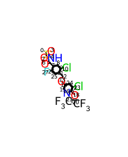 CS(=O)(=O)NC(=O)c1cc(Cl)c(COc2cnc(OC(C(F)(F)F)C(F)(F)F)c(Cl)c2)cc1F